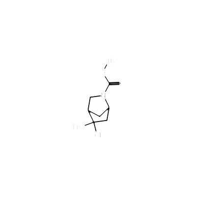 CC(C)(C)OC(=O)N1CC2CC1CC2(C)O